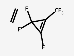 C=C.FC1=C(C(F)(F)F)C1(F)F